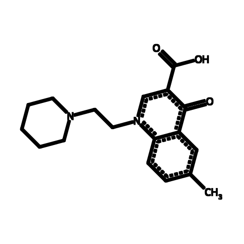 Cc1ccc2c(c1)c(=O)c(C(=O)O)cn2CCN1CCCCC1